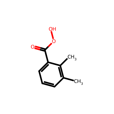 Cc1cccc(C(=O)OO)c1C